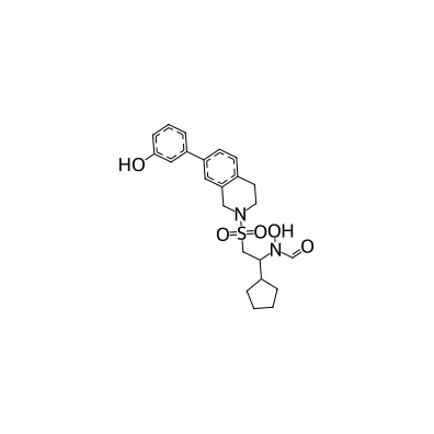 O=CN(O)C(CS(=O)(=O)N1CCc2ccc(-c3cccc(O)c3)cc2C1)C1CCCC1